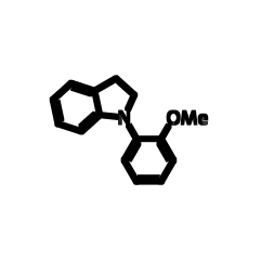 COc1ccccc1N1CCc2ccccc21